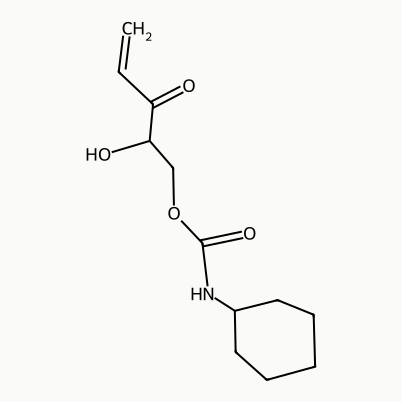 C=CC(=O)C(O)COC(=O)NC1CCCCC1